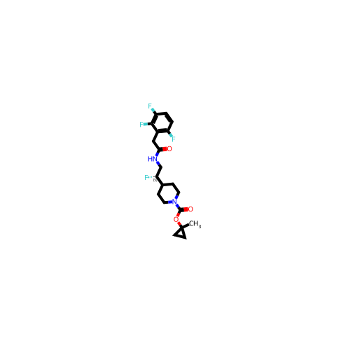 CC1(OC(=O)N2CCC([C@H](F)CNC(=O)Cc3c(F)ccc(F)c3F)CC2)CC1